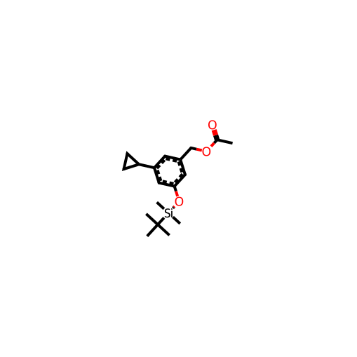 CC(=O)OCc1cc(O[Si](C)(C)C(C)(C)C)cc(C2CC2)c1